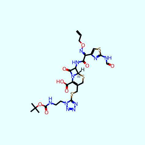 C=CCON=C(C(=O)NC1C(=O)N2C(C(=O)O)=C(CSc3nnnn3CCNC(=O)OC(C)(C)C)CS[C@@H]12)c1csc(NC=O)n1